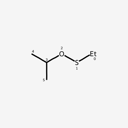 CCSOC(C)C